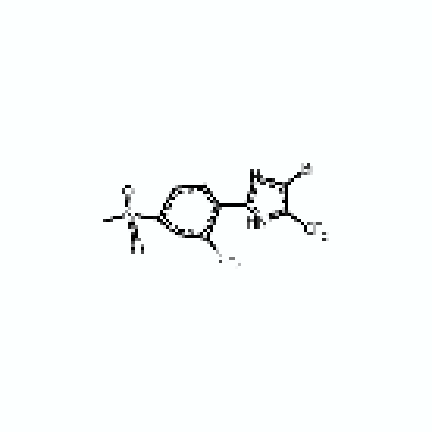 CS(=O)(=O)c1ccc(-c2nc(Br)c(C(F)(F)F)[nH]2)c(C(F)(F)F)c1